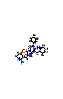 O=c1c(Cc2cccnc2F)nc2c(Cc3ccccc3)[nH]c(-c3ccccc3)cn1-2